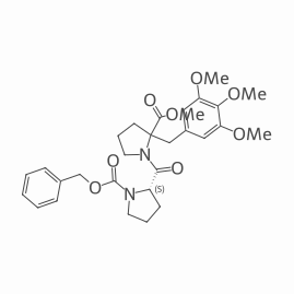 COC(=O)C1(Cc2cc(OC)c(OC)c(OC)c2)CCCN1C(=O)[C@@H]1CCCN1C(=O)OCc1ccccc1